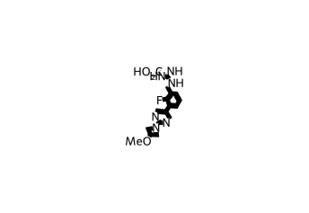 COC1CN(c2ncc(-c3cccc(CNC(=N)NC(=O)O)c3F)cn2)C1